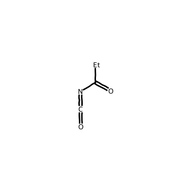 CCC(=O)N=C=O